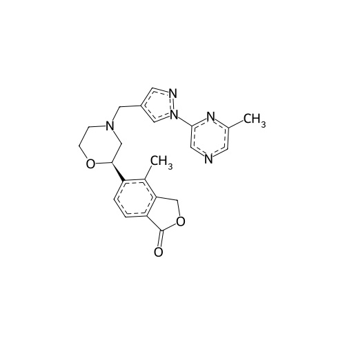 Cc1cncc(-n2cc(CN3CCO[C@H](c4ccc5c(c4C)COC5=O)C3)cn2)n1